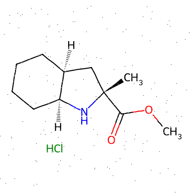 COC(=O)[C@@]1(C)C[C@@H]2CCCC[C@@H]2N1.Cl